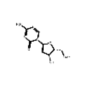 COC[C@H]1OC(n2cnc(N)nc2=O)C[C@@H]1O